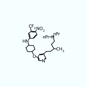 CCCN(CCC)CCC(C)CCc1cncc(OC2CCC(Nc3ccc([N+](=O)[O-])c(C(F)(F)F)c3)CC2)c1